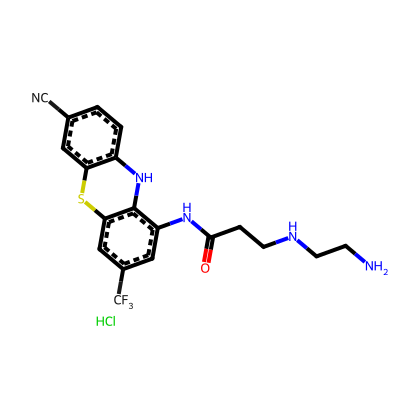 Cl.N#Cc1ccc2c(c1)Sc1cc(C(F)(F)F)cc(NC(=O)CCNCCN)c1N2